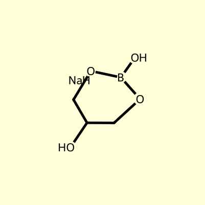 OB1OCC(O)CO1.[NaH]